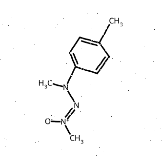 Cc1ccc(N(C)N=[N+](C)[O-])cc1